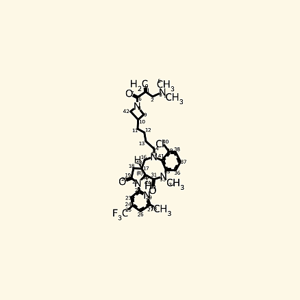 C=C(CN(C)C)C(=O)N1CC(CCCCN2C[C@H]3CC(=O)N(c4cc(C(F)(F)F)cc(C)n4)[C@@H]3C(=O)N(C)c3cccc(Cl)c32)C1